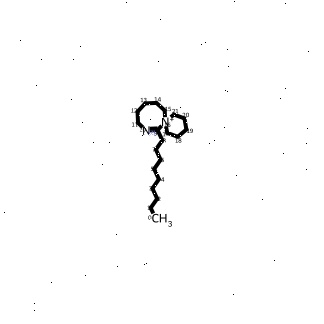 CCCCCCCCC/C1=N/CCCCC[N+]12CCCCC2